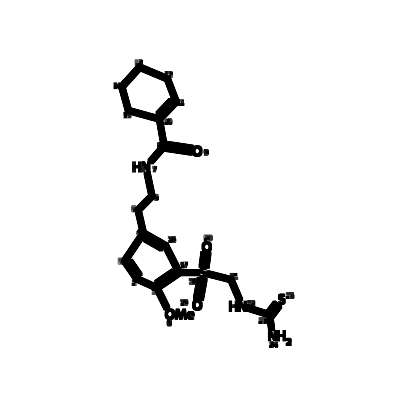 COc1ccc(CCNC(=O)C2=CCCCC2)cc1S(=O)(=O)CNC(N)=S